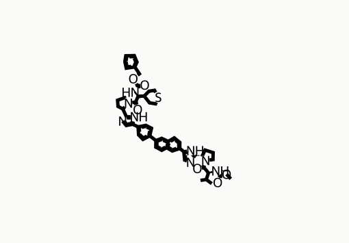 COC(=O)N[C@H](C(=O)N1CCC[C@H]1c1ncc(-c2ccc3cc(-c4ccc(-c5cnc(C6CCCN6C(=O)[C@@H](NC(=O)OCc6ccccc6)C6CCSCC6)[nH]5)cc4)ccc3c2)[nH]1)C(C)C